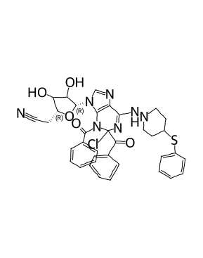 N#CC[C@H]1O[C@@H](n2cnc3c2N(C(=O)c2ccccc2)C(Cl)(C(=O)c2ccccc2)N=C3NN2CCC(Sc3ccccc3)CC2)C(O)C1O